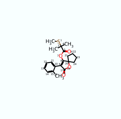 CSC(C)(C)C(=O)OC1=C(c2ccccc2C)C(=O)OC12CCCC2